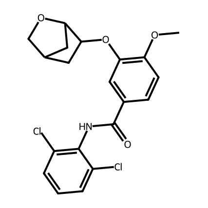 COc1ccc(C(=O)Nc2c(Cl)cccc2Cl)cc1OC1CC2COC1C2